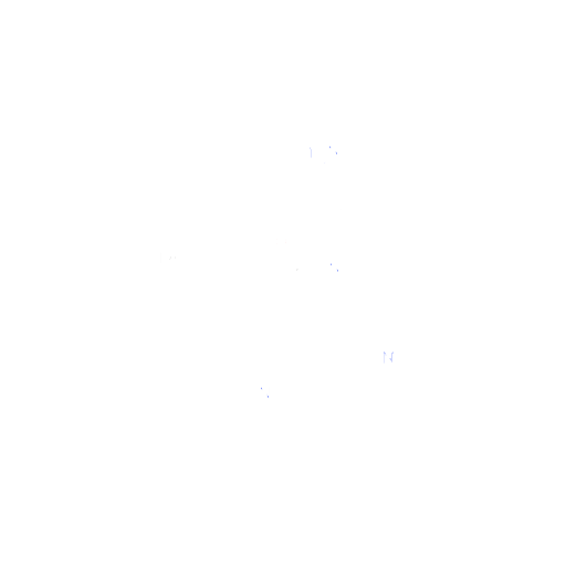 N#Cc1ccccc1-c1cc(-c2ccccn2)cn(-c2cccc(N)c2)c1=O.[Fe]